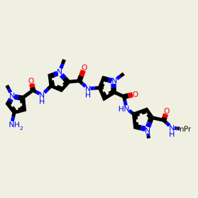 [CH2]CCNC(=O)c1cc(NC(=O)c2cc(NC(=O)c3cc(NC(=O)c4cc(N)cn4C)cn3C)cn2C)cn1C